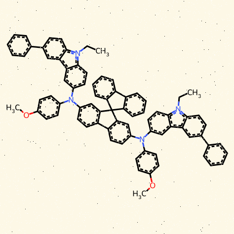 CCn1c2ccc(-c3ccccc3)cc2c2cc(N(c3ccc(OC)cc3)c3ccc4c(c3)C3(c5ccccc5-c5ccccc53)c3cc(N(c5ccc(OC)cc5)c5ccc6c(c5)c5cc(-c7ccccc7)ccc5n6CC)ccc3-4)ccc21